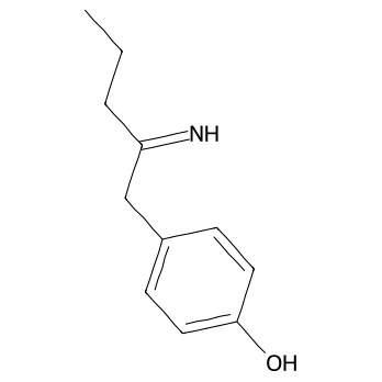 CCCC(=N)Cc1ccc(O)cc1